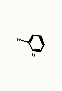 Sc1ccccc1.[Li]